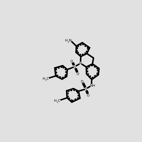 Cc1ccc(S(=O)(=O)Nc2ccc3c(c2)N(S(=O)(=O)c2ccc(C)cc2)c2cc(N)ccc2C3)cc1